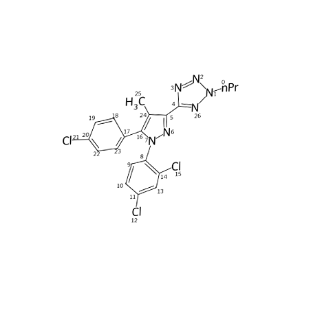 CCCn1nnc(-c2nn(-c3ccc(Cl)cc3Cl)c(-c3ccc(Cl)cc3)c2C)n1